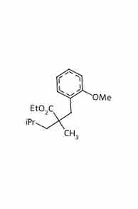 CCOC(=O)C(C)(Cc1ccccc1OC)CC(C)C